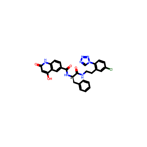 O=C(N[C@H](Cc1ccccc1)C(=O)NCCc1cc(Cl)ccc1-n1cnnn1)c1ccc2[nH]c(=O)cc(O)c2c1